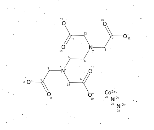 O=C([O-])CN(CCN(CC(=O)[O-])CC(=O)[O-])CC(=O)[O-].[Co+2].[Ni+2].[Ni+2]